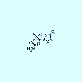 CC(C)(C)C(OC(N)=O)[C@@H]1CCC(=O)N1